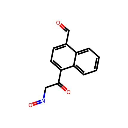 O=Cc1ccc(C(=O)CN=O)c2ccccc12